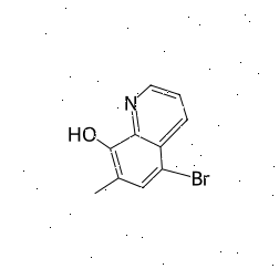 Cc1cc(Br)c2cccnc2c1O